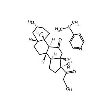 CN(C)c1ccncc1.C[C@]12CC[C@@H](O)C[C@H]1CC[C@@H]1[C@@H]2C(=O)C[C@@]2(C)[C@H]1CC[C@]2(O)C(=O)CO